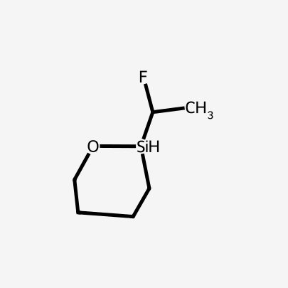 CC(F)[SiH]1CCCCO1